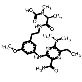 CCc1nc(C(N)=O)c(Nc2cc(CCNC(=O)[C@H](C)N(C)C(=O)O)cc(OC)c2)nc1N(C)C